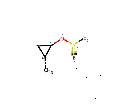 B#[SH](CC)OC1CC1C